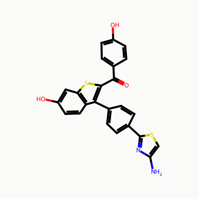 Nc1csc(-c2ccc(-c3c(C(=O)c4ccc(O)cc4)sc4cc(O)ccc34)cc2)n1